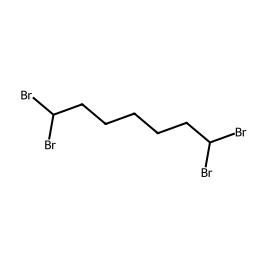 BrC(Br)CCCCCC(Br)Br